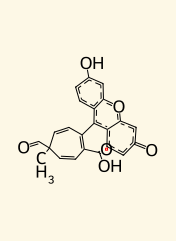 CC1(C=O)C=CC(C(=O)O)=C(c2c3ccc(=O)cc-3oc3cc(O)ccc23)C=C1